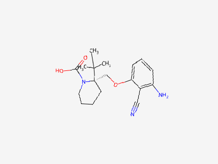 CC(C)(C)[C@@]1(COc2cccc(N)c2C#N)CCCCN1C(=O)O